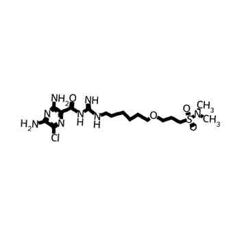 CN(C)S(=O)(=O)CCCOCCCCCCNC(=N)NC(=O)c1nc(Cl)c(N)nc1N